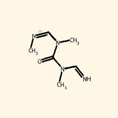 C/N=C\N(C)C(=O)N(C)C=N